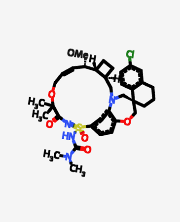 CO[C@H]1C=CCOC(C)(C)C(=O)N=[S@](=O)(NC(=O)N(C)C)c2ccc3c(c2)N(C[C@@H]2CC[C@H]21)C[C@@]1(CCCc2cc(Cl)ccc21)CO3